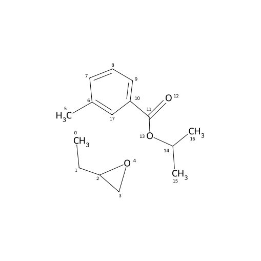 CCC1CO1.Cc1cccc(C(=O)OC(C)C)c1